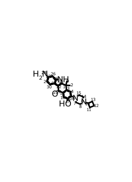 CC1(C)c2cc(N3CCN(C4CCC4)CC3)c(O)cc2C(=O)c2c1[nH]c1cc(N)ccc21